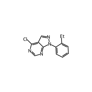 CCc1ccccc1-n1ncc2c(Cl)ncnc21